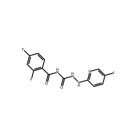 O=C(NNc1ccc(F)cn1)NC(=O)c1ccc(F)cc1F